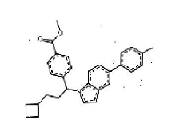 COC(=O)c1ccc(C(CCC2CCC2)n2ccc3cc(-c4ccc(C)cc4)ccc32)cc1